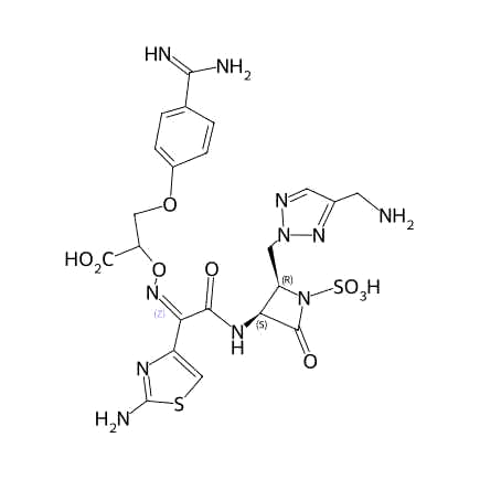 N=C(N)c1ccc(OCC(O/N=C(\C(=O)N[C@@H]2C(=O)N(S(=O)(=O)O)[C@@H]2Cn2ncc(CN)n2)c2csc(N)n2)C(=O)O)cc1